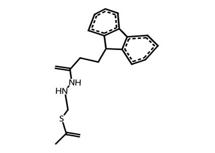 C=C(CCC1c2ccccc2-c2ccccc21)NNCSC(=C)C